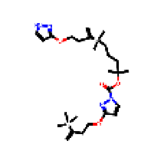 C=C(CCOc1ccn(C(=O)OC(C)(C)CCC[Si](C)(C)C(=C)CCOc2cc[nH]n2)n1)[Si](C)(C)C